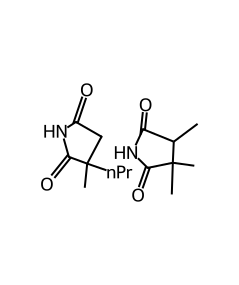 CC1C(=O)NC(=O)C1(C)C.CCCC1(C)CC(=O)NC1=O